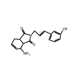 N#Cc1cccc(/C=C/CN2C(=O)C3CC=CC(N)C3C2=O)c1